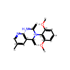 C=C(N)N(C(=C)c1cncc(C)c1)c1c(OC)cccc1OC